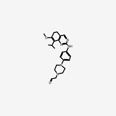 COC1=C(C(C)C)c2nc(Nc3ccc(N4CCN(CC=O)CC4)cc3)ncc2CC1